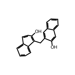 Oc1cc2ccccc2cc1Cc1c(O)ccc2ccccc12